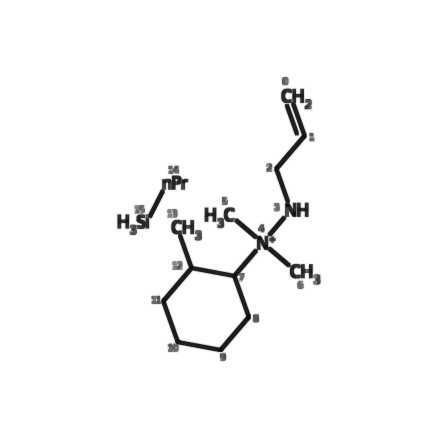 C=CCN[N+](C)(C)C1CCCCC1C.CCC[SiH3]